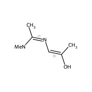 CN/C(C)=N\C=C(/C)O